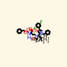 CC(=O)N(CCC(NC(=O)OCc1ccccc1)C(=O)O)C(c1cc(-c2cc(F)ccc2F)cn1Cc1ccccc1)C(C)(C)C